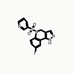 O=S(=O)(c1cccnc1)N1Cc2cn[nH]c2-c2cc(F)ccc21